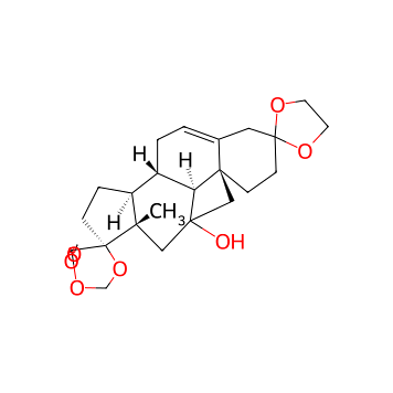 C[C@]12CC3(O)C[C@]45CCC6(CC4=CC[C@H]([C@H]35)[C@@H]1CC[C@@]21OCOC12COCO2)OCCO6